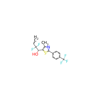 C=CC(F)(F)C(O)c1sc(-c2ccc(C(F)(F)F)cc2)nc1C